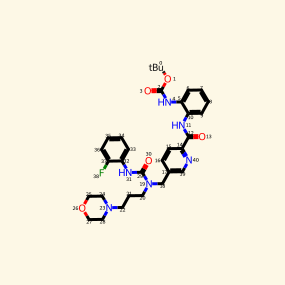 CC(C)(C)OC(=O)Nc1ccccc1NC(=O)c1ccc(CN(CCCN2CCOCC2)C(=O)Nc2ccccc2F)cn1